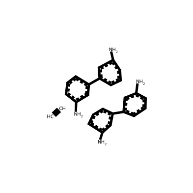 C#C.Nc1cccc(-c2cccc(N)c2)c1.Nc1cccc(-c2cccc(N)c2)c1